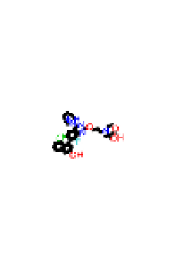 CC1(C)N(CCCOc2nc(N3CC4CCC(C3)N4)c3cc(Cl)c(-c4cc(O)cc5ccccc45)c(F)c3n2)CCO[C@@]1(C)O